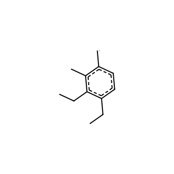 [CH2]c1ccc(CC)c(CC)c1C